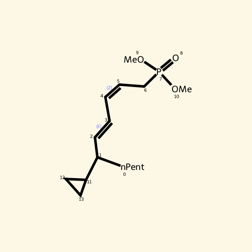 CCCCCC(/C=C/C=C\CP(=O)(OC)OC)C1CC1